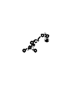 Cc1c(O[C@H]2CC[C@H](CCC[C@@H](C)N3CCN(c4cccc5c(-c6ccc(OCc7ccccc7)nc6OCc6ccccc6)nn(C)c45)CC3)CC2)cccc1B1OC(C)(C)C(C)(C)O1